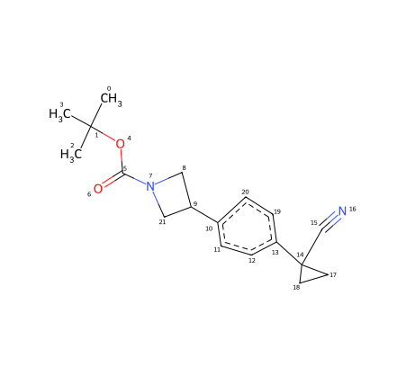 CC(C)(C)OC(=O)N1CC(c2ccc(C3(C#N)CC3)cc2)C1